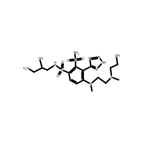 CN(CCO)CCN(C)c1ccc(S(=O)(=O)NCC(O)CN)c(S(N)(=O)=O)c1-c1nn[nH]n1